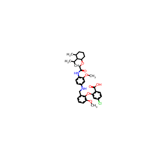 COc1cc(NCc2cccc(OC)c2Oc2cc(Cl)ccc2C(=O)O)ccc1NC(=O)COC1CCCC(C)C1C(C)C